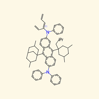 C=C/C=C(\C=C)N(c1ccccc1)c1ccc2c(C34CC(C)CC(CC(C)C3)C4)c3cc(N(c4ccccc4)c4ccccc4)ccc3c(C3(CC(C)C)CC(C)CC(C)C3)c2c1